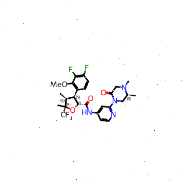 COc1c([C@H]2[C@H](C(=O)Nc3ccnc(N4C[C@H](C)N(C)CC4=O)c3)O[C@@](C)(C(F)(F)F)[C@H]2C)ccc(F)c1F